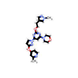 Cc1cc(Oc2ccn(-c3cc(N4CCOCC4)nc(OCCc4cnn(C)c4)n3)n2)ccn1